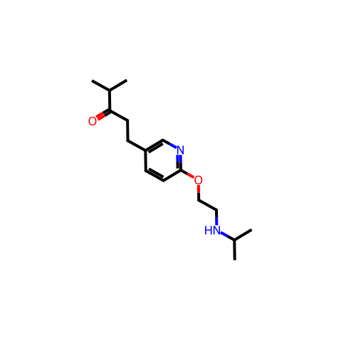 CC(C)NCCOc1ccc(CCC(=O)C(C)C)cn1